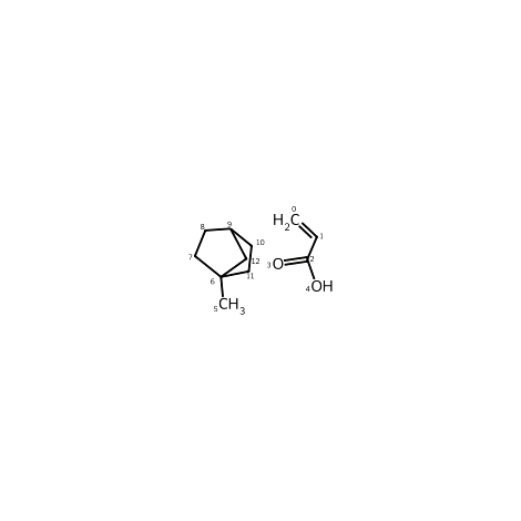 C=CC(=O)O.CC12CCC(CC1)C2